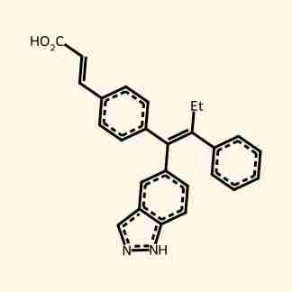 CCC(=C(c1ccc(C=CC(=O)O)cc1)c1ccc2[nH]ncc2c1)c1ccccc1